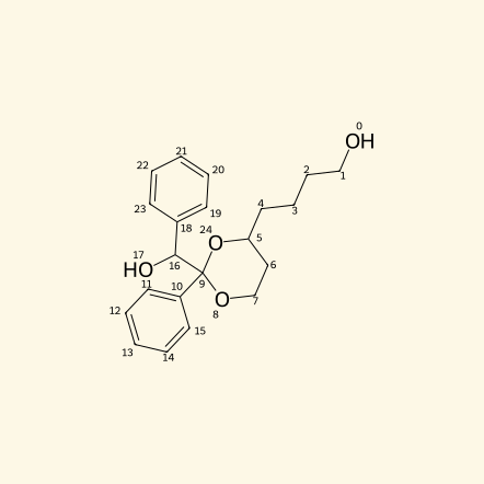 OCCCCC1CCOC(c2ccccc2)(C(O)c2ccccc2)O1